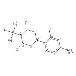 [2H]C([2H])([2H])N1[C@H](C)CN(c2ccc(N)cc2C)C[C@@H]1C